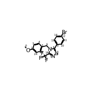 COc1ccc(Cn2c(-c3ccc(Br)cc3)nnc2C(F)(F)F)cc1